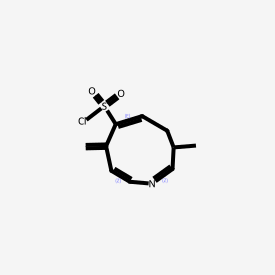 C=C1/C=C\N=C/C(C)C/C=C\1S(=O)(=O)Cl